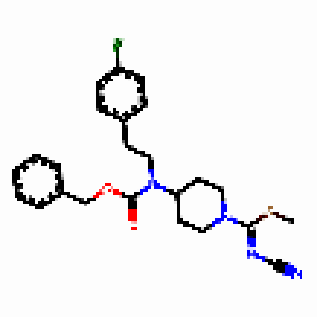 CSC(=NC#N)N1CCC(N(CCc2ccc(Br)cc2)C(=O)OCc2ccccc2)CC1